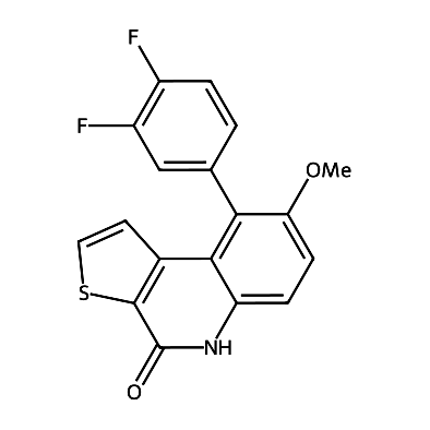 COc1ccc2[nH]c(=O)c3sccc3c2c1-c1ccc(F)c(F)c1